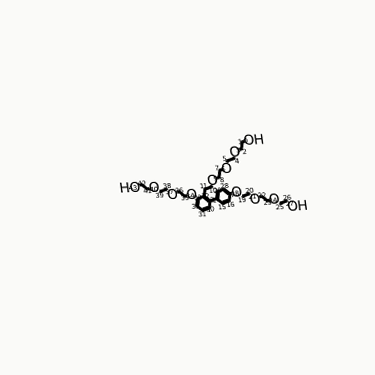 OCCOCCOCCOCCc1c(-c2ccc(OCCOCCOCCO)cc2)[c]ccc1OCCOCCOCCO